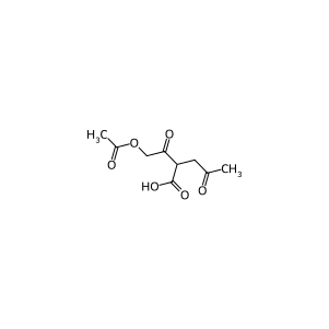 CC(=O)CC(C(=O)O)C(=O)COC(C)=O